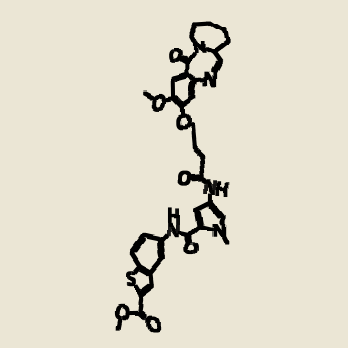 COC(=O)c1cc2cc(NC(=O)c3cc(NC(=O)CCCOc4cc5c(cc4OC)C(=O)N4CCCCCC4C=N5)cn3C)ccc2s1